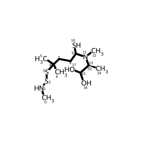 CNSSC(C)(C)CCC(S)N(C)[C@@H](C)C(O)O